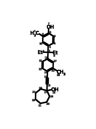 CCC(CC)(c1ccc(O)c(C)c1)c1ccc(C#CC2(O)CCCCCC2)c(C)c1